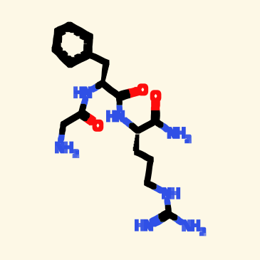 N=C(N)NCCC[C@H](NC(=O)[C@H](Cc1ccccc1)NC(=O)CN)C(N)=O